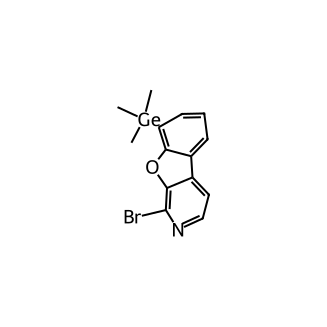 [CH3][Ge]([CH3])([CH3])[c]1cccc2c1oc1c(Br)nccc12